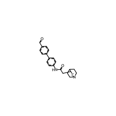 O=Cc1ccc(-c2ccc(NC(=O)CC3CN4CCC3CC4)cc2)cc1